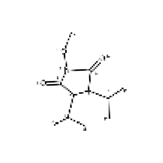 CON1C(=O)C(C(C)C)C(C(C)C)C1=O